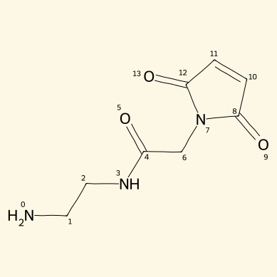 NCCNC(=O)CN1C(=O)C=CC1=O